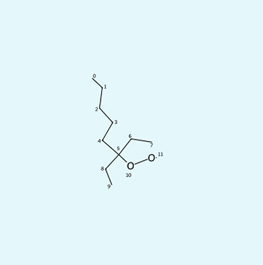 CCCCCC(CC)(CC)O[O]